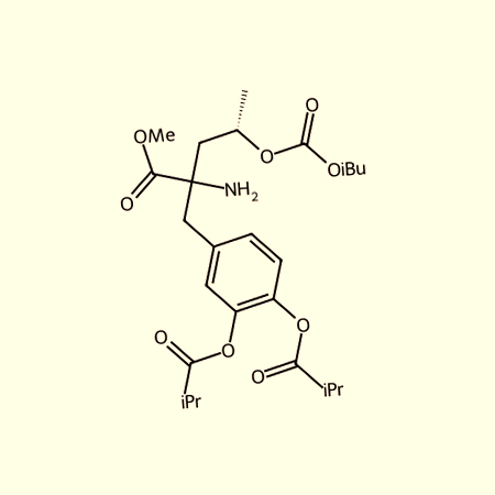 COC(=O)C(N)(Cc1ccc(OC(=O)C(C)C)c(OC(=O)C(C)C)c1)C[C@H](C)OC(=O)OCC(C)C